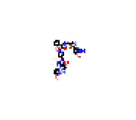 O=C([C@@H]1CCN(Cc2cnc(-c3ccc(=O)[nH]c3)s2)C[C@H]1c1ccccc1)N1CCC(O)(Cn2cnc3c(ccn3-c3cccc(=O)[nH]3)c2=O)CC1